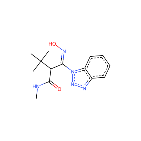 CNC(=O)C(C(=NO)n1nnc2ccccc21)C(C)(C)C